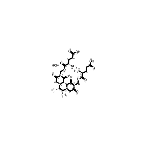 C[C@H]([C@H](C)N1CC(=O)N(COC(=O)[C@@H](N)CCC(=O)O)C(=O)C1)N1CC(=O)N(COC(=O)[C@@H](N)CCC(=O)O)C(=O)C1.Cl